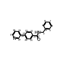 O=C(NCc1ccccc1)c1ccc(-c2cccnc2)cc1